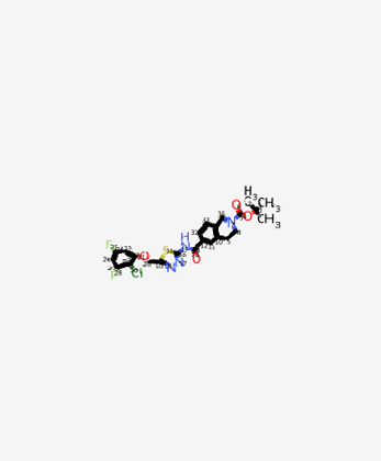 CC(C)(C)OC(=O)N1CCc2cc(C(=O)Nc3nnc(COc4cc(F)cc(F)c4Cl)s3)ccc2C1